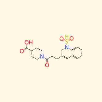 O=C(O)C1CCN(C(=O)CCC2=Cc3ccccc3N([SH](=O)=O)C2)CC1